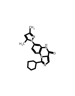 Cc1cc(C)n(-c2ccc3c(c2)[nH]c(=O)c2cnc(C4CCCCC4)n23)n1